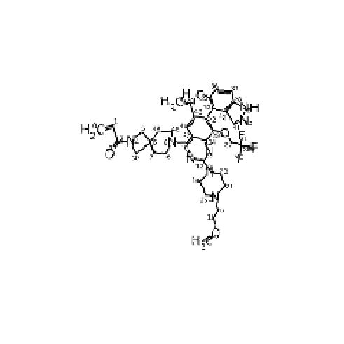 C=CC(=O)N1CC2(CCN(c3nc(N4CCN(CCOC)CC4)nc4c(OCC(F)(F)F)c(-c5c(C)ccc6[nH]ncc56)c(C=C)cc34)CC2)C1